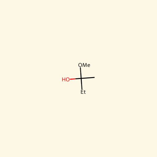 CCC(C)(O)OC